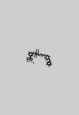 COC(=O)c1cccc(NC(=O)NCCCCN2CCC(Cc3ccccc3)CC2)c1